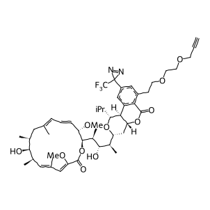 C#CCOCCOCCc1cc(C2(C(F)(F)F)N=N2)cc2c1C(=O)O[C@@H]1C[C@H]([C@@H](C)[C@H](O)[C@H](C)[C@H]3OC(=O)/C(OC)=C/C(C)=C/[C@@H](C)[C@@H](O)[C@@H](C)C/C(C)=C/C=C/[C@@H]3OC)O[C@H](C(C)C)[C@@H]21